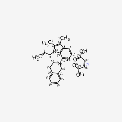 C=CCn1c(C)c(C)c2ccnc(N3CCc4ccccc4C3)c21.O=C(O)/C=C\C(=O)O